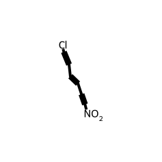 O=[N+]([O-])C#CC#CC#CCl